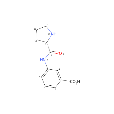 O=C(O)c1cccc(NC(=O)[C@@H]2CCCN2)c1